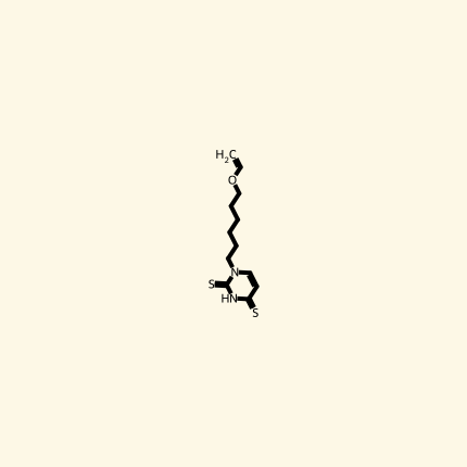 C=COCCCCCCn1ccc(=S)[nH]c1=S